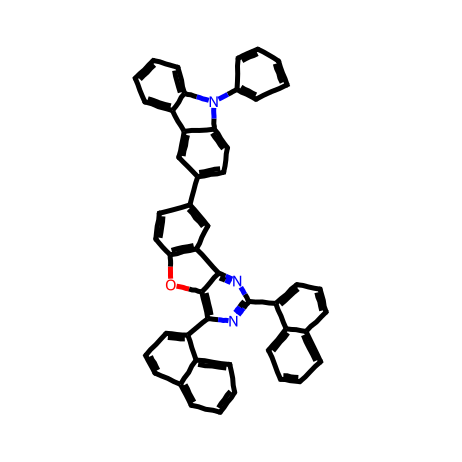 c1ccc(-n2c3ccccc3c3cc(-c4ccc5oc6c(-c7cccc8ccccc78)nc(-c7cccc8ccccc78)nc6c5c4)ccc32)cc1